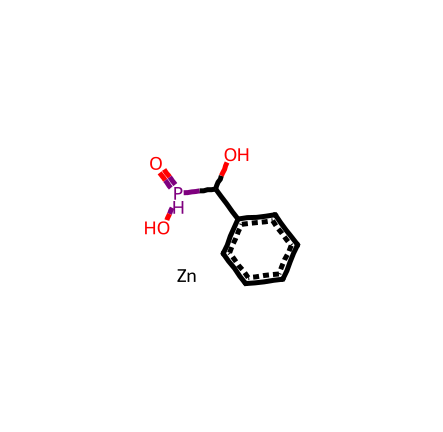 O=[PH](O)C(O)c1ccccc1.[Zn]